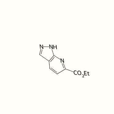 CCOC(=O)c1ccc2cn[nH]c2n1